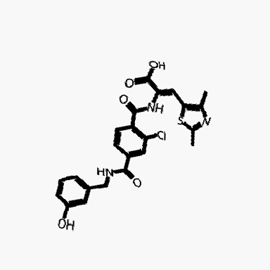 Cc1nc(C)c(/C=C(\NC(=O)c2ccc(C(=O)NCc3cccc(O)c3)cc2Cl)C(=O)O)s1